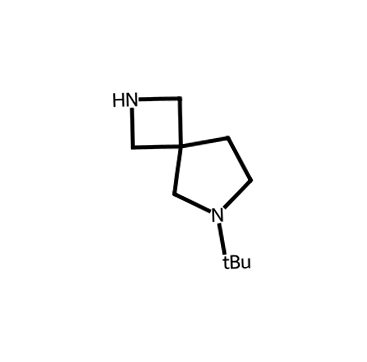 CC(C)(C)N1CCC2(CNC2)C1